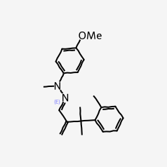 C=C(/C=N/N(C)c1ccc(OC)cc1)C(C)(C)c1ccccc1C